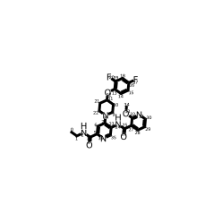 CCNC(=O)c1cc(N2CCC(Oc3ccc(F)cc3F)CC2)c(NC(=O)c2cccnc2OC)cn1